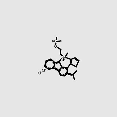 CC(C)=c1ccc2c(c1C1=C([Si](C)(C)CCO[Si](C)(C)C)C=CC1)[C]([Zr+2])=c1ccccc1=2.[Cl-].[Cl-]